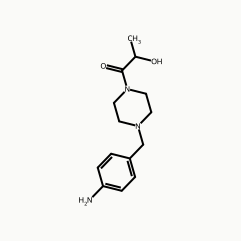 CC(O)C(=O)N1CCN(Cc2ccc(N)cc2)CC1